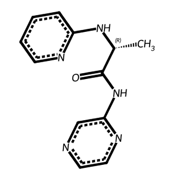 C[C@@H](Nc1ccccn1)C(=O)Nc1cnccn1